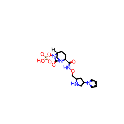 O=C(NOCC1CC(n2cccc2)CN1)[C@@H]1CC[C@@H]2CN1C(=O)N2OS(=O)(=O)O